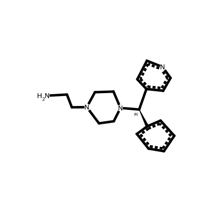 NCCN1CCN([C@H](c2ccccc2)c2ccncc2)CC1